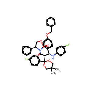 CC1(C)COC(c2ccc(F)cc2)([C@@H](C(=O)N2C(=O)OC[C@@H]2c2ccccc2)[C@H](Nc2ccc(F)cc2)c2ccc(OCc3ccccc3)cc2)OC1